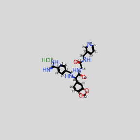 Cl.N=C(N)c1ccc(CNC(C(=O)NCC(=O)NCc2cccnc2)c2ccc3c(c2)OCO3)cc1